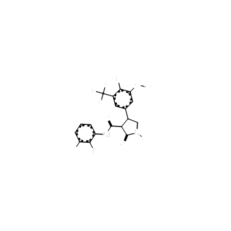 COc1cc(C2CN(C)C(=O)C2C(=O)Nc2cccc(F)c2F)cc(C(F)(F)F)c1F